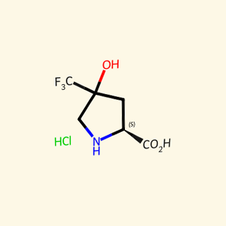 Cl.O=C(O)[C@@H]1CC(O)(C(F)(F)F)CN1